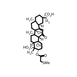 CSCC(=O)O[C@H]1CC[C@@]2(C)[C@@H](CC[C@]3(C)[C@@H]2C(=O)C=C2[C@@H]4C[C@@](C)(C(=O)O)CC[C@]4(C)CC[C@]23C)[C@]1(C)C(=O)O